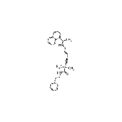 C[C@@H](NC/C=C/C#CC(C)(C)C(=O)NCCc1ccccc1)c1cccc2ccccc12